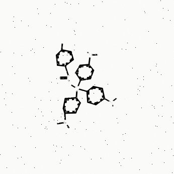 CN(C)c1ccc(S(OS(=O)(=O)c2ccc(F)cc2)(c2ccc(N(C)C)cc2)c2ccc(N(C)C)cc2)cc1